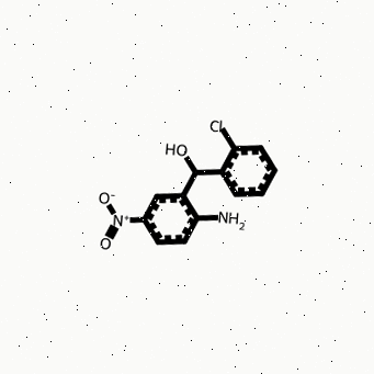 Nc1ccc([N+](=O)[O-])cc1C(O)c1ccccc1Cl